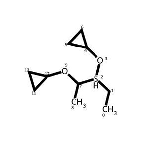 CC[SH](OC1CC1)C(C)OC1CC1